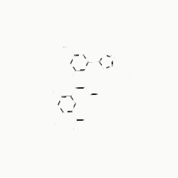 C=C/C=C(/Oc1cc(OC)cc(-c2nc(C)no2)c1)c1cc(C(N)=O)c(C)cc1C